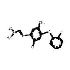 CCN(C)C=Nc1cc(C)c(Oc2ccccc2Cl)cc1Cl